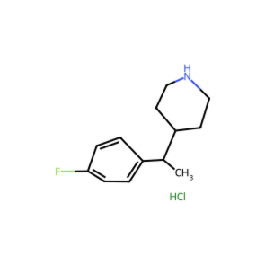 CC(c1ccc(F)cc1)C1CCNCC1.Cl